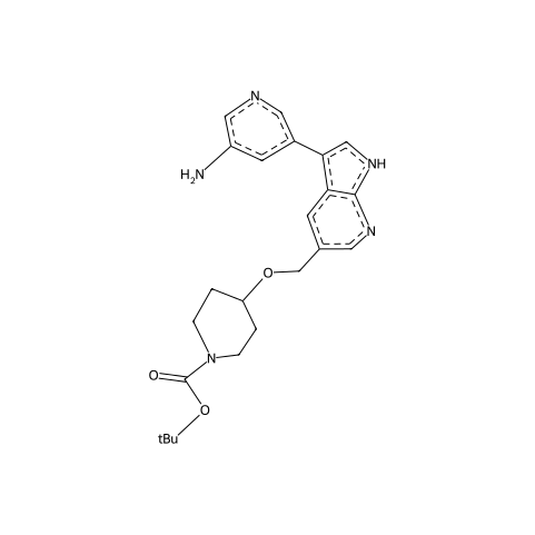 CC(C)(C)OC(=O)N1CCC(OCc2cnc3[nH]cc(-c4cncc(N)c4)c3c2)CC1